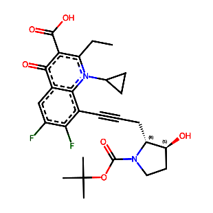 CCc1c(C(=O)O)c(=O)c2cc(F)c(F)c(C#CC[C@@H]3[C@@H](O)CCN3C(=O)OC(C)(C)C)c2n1C1CC1